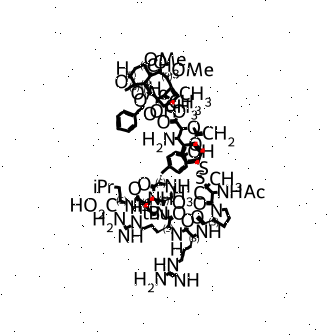 C=C(OCCSSC(C)(C)C(NC(C)=O)C(=O)N1CCC[C@H]1C(=O)N[C@@H](CCCNC(=N)N)C(=O)N[C@@H](CCCNC(=N)N)C(=O)N1CCC[C@H]1C(=O)N[C@@H](Cc1ccc(O)cc1)C(=O)N[C@H](C(=O)N[C@@H](CC(C)C)C(=O)O)C(C)(C)C)OC(C(=O)OC1CC2(O)[C@@H](OC(=O)c3ccccc3)[C@H]3C(C)(C(=O)[C@H](OC)C(=C1C)C2(C)C)[C@@H](OC)C[C@H]1OC[C@]13OC(C)=O)C(N)c1ccccc1